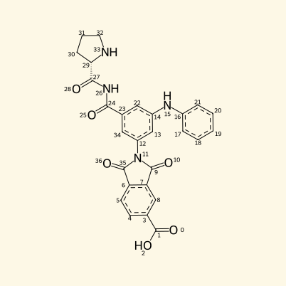 O=C(O)c1ccc2c(c1)C(=O)N(c1cc(Nc3ccccc3)cc(C(=O)NC(=O)[C@@H]3CCCN3)c1)C2=O